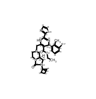 CCOC(=O)C1=C(CN2CCN3C(=O)N(C45CC(C4)C5)C[C@@H]3C2)NC(c2nccs2)=N[C@H]1c1cccc(F)c1C